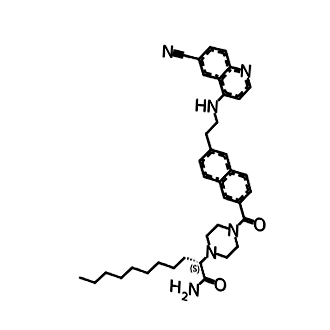 CCCCCCCCC[C@@H](C(N)=O)N1CCN(C(=O)c2ccc3cc(CCNc4ccnc5ccc(C#N)cc45)ccc3c2)CC1